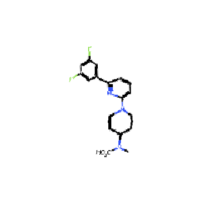 CN(C(=O)O)C1CCN(c2cccc(-c3cc(F)cc(F)c3)n2)CC1